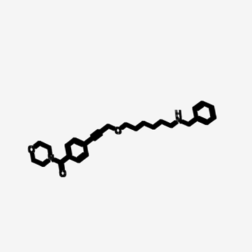 O=C(c1ccc(C#CCOCCCCCCNCc2ccccc2)cc1)N1CCOCC1